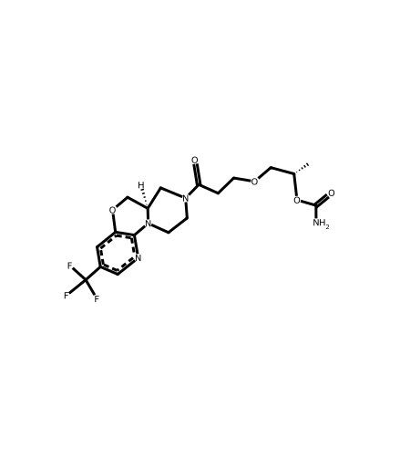 C[C@@H](COCCC(=O)N1CCN2c3ncc(C(F)(F)F)cc3OC[C@H]2C1)OC(N)=O